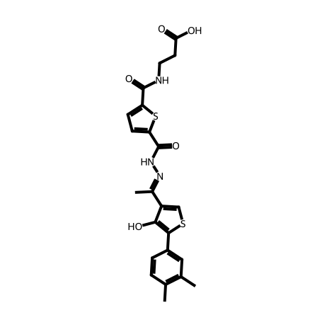 C/C(=N\NC(=O)c1ccc(C(=O)NCCC(=O)O)s1)c1csc(-c2ccc(C)c(C)c2)c1O